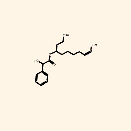 CCCCCCCC/C=C\CCCCC(CCC=O)OC(=O)C(O)c1ccccc1